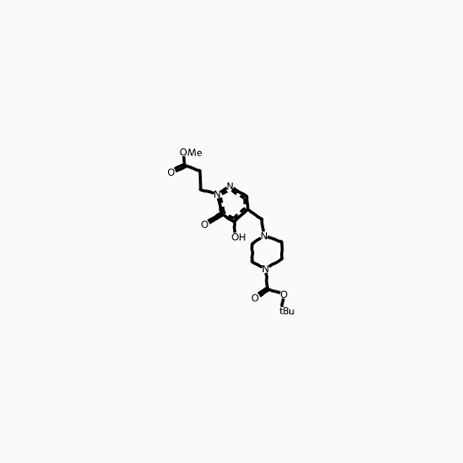 COC(=O)CCn1ncc(CN2CCN(C(=O)OC(C)(C)C)CC2)c(O)c1=O